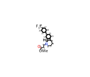 COC(=O)CCN1CCCC2C[C@@H]1c1cc(-c3ccc(C(F)(F)F)cc3)ccc12